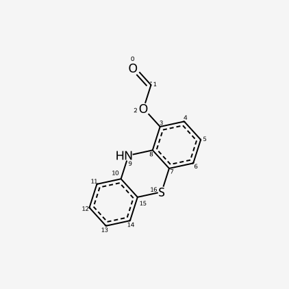 O=[C]Oc1cccc2c1Nc1ccccc1S2